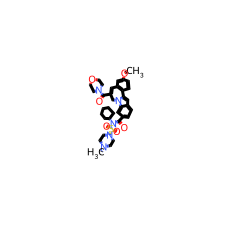 COc1ccc2c(c1)C=C(C(=O)N1CCOCC1)Cn1c-2cc2ccc(C(=O)N(C3CCCCC3)S(=O)(=O)N3CCN(C)CC3)cc21